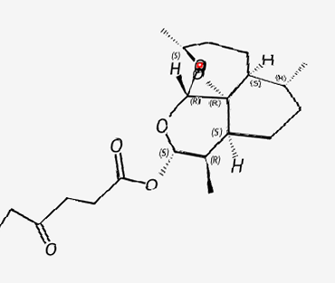 CCC(=O)CCC(=O)O[C@@H]1O[C@@H]2O[C@]3(C)CC[C@H]4[C@H](C)CC[C@@H]([C@H]1C)[C@@]24OO3